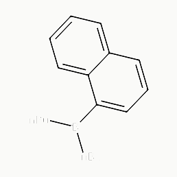 CCCCB(CCCC)c1cccc2ccccc12